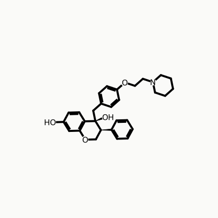 Oc1ccc2c(c1)OC[C@H](c1ccccc1)[C@@]2(O)Cc1ccc(OCCN2CCCCC2)cc1